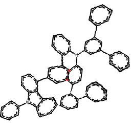 c1ccc(-c2cc(-c3ccccc3)cc(N(c3ccc(-c4ccccc4-c4ccccc4)cc3)c3ccccc3-c3cccc(-c4cccc5c4c4ccccc4n5-c4ccccc4)c3)c2)cc1